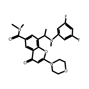 CC(c1cc(C(=O)N(C)C)cc2c(=O)cc(N3CCOCC3)oc12)N(C)c1cc(F)cc(F)c1